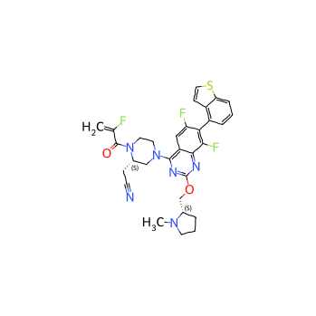 C=C(F)C(=O)N1CCN(c2nc(OC[C@@H]3CCCN3C)nc3c(F)c(-c4cccc5sccc45)c(F)cc23)C[C@@H]1CC#N